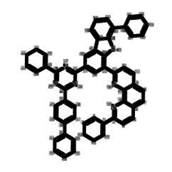 C1=CC(c2ccc3ccc4ccc(-c5cc(-c6nc(C7=CCCC=C7)nc(-c7ccc(-c8ccccc8)cc7)n6)cc6c5sc5c(-c7ccccc7)cccc56)nc4c3n2)=CCC1